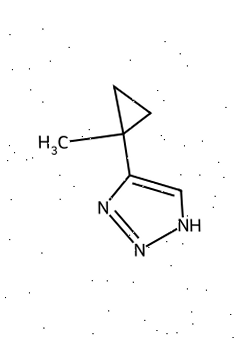 CC1(c2c[nH]nn2)CC1